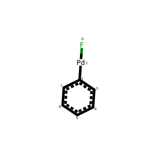 [F][Pd][c]1ccccc1